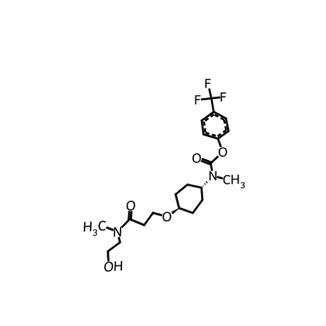 CN(CCO)C(=O)CCO[C@H]1CC[C@H](N(C)C(=O)Oc2ccc(C(F)(F)F)cc2)CC1